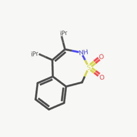 CC(C)C1=C(C(C)C)c2ccccc2CS(=O)(=O)N1